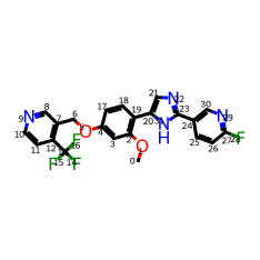 COc1cc(OCc2cnccc2C(F)(F)F)ccc1-c1cnc(-c2ccc(F)nc2)[nH]1